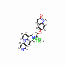 Cl.Cl.Cl.Cn1c(=O)ccc2cc(OCCN(C/C=C/c3cccnc3)Cc3cccnc3)ccc21